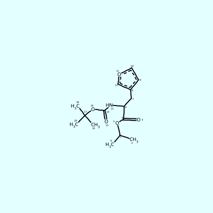 CC(C)OC(=O)C(Cc1ccoc1)NC(=O)OC(C)(C)C